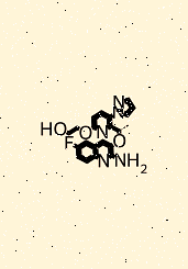 C[C@H](Oc1cc2cc(F)ccc2nc1N)c1nc(OCCO)ccc1-n1cccn1